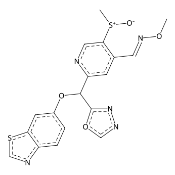 CO/N=C/c1cc(C(Oc2ccc3ncsc3c2)c2nnco2)ncc1[S+](C)[O-]